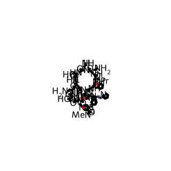 CNC(=O)c1ccccc1Sc1ccc2c(/C=C/c3ccccn3)nn(C(=O)CCC(=O)N[C@H](CCN)C(=O)N[C@@H](C(=O)NC(CCN)C(=O)N[C@@H]3CCNC(=O)[C@H]([C@H](C)O)NC(=O)[C@H](CCN)NC(=O)[C@H](CCN)NC(=O)[C@H](CC(C)C)NC(=O)[C@H](Cc4ccccc4)NC(=O)[C@H](CCN)NC3=O)C(C)O)c2c1